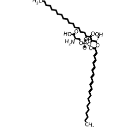 CCCCCCCCCC=CC=CC=CC=CC=CC=CC(=O)O[C@@H](CO)C(OP(=O)(O)OC[C@H](N)C(=O)O)C(=O)CCCCCCCCCCCCCCCCC